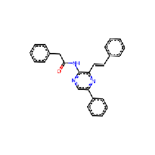 O=C(Cc1ccccc1)Nc1ncc(-c2ccccc2)nc1/C=C/c1ccccc1